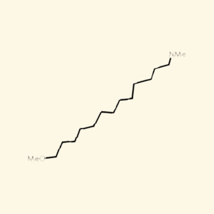 CNCCCCCCCCCCCCCOC